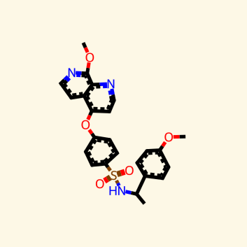 COc1ccc(C(C)NS(=O)(=O)c2ccc(Oc3ccnc4c(OC)nccc34)cc2)cc1